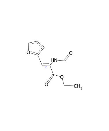 CCOC(=O)/C(=C/c1ccco1)NC=O